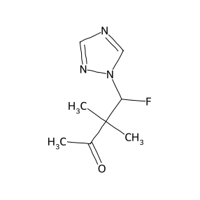 CC(=O)C(C)(C)C(F)n1cncn1